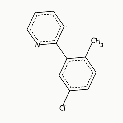 Cc1ccc(Cl)cc1-c1[c]cccn1